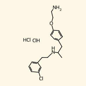 CC(Cc1ccc(OCCN)cc1)NCCc1cccc(Cl)c1.Cl.Cl